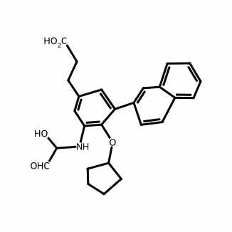 O=CC(O)Nc1cc(CCC(=O)O)cc(-c2ccc3ccccc3c2)c1OC1CCCC1